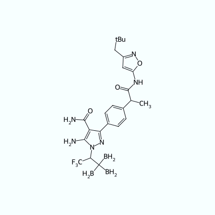 BC(B)(B)C(n1nc(-c2ccc(C(C)C(=O)Nc3cc(CC(C)(C)C)no3)cc2)c(C(N)=O)c1N)C(F)(F)F